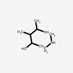 CC(O)C(C)C(C)O.CNC